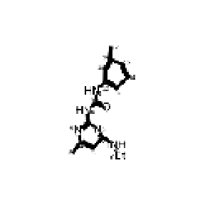 CCNc1cc(C)nc(NC(=O)Nc2cccc(C)c2)n1